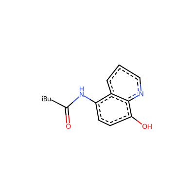 CCC(C)C(=O)Nc1ccc(O)c2ncccc12